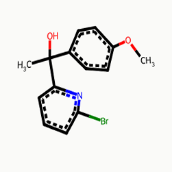 COc1ccc(C(C)(O)c2cccc(Br)n2)cc1